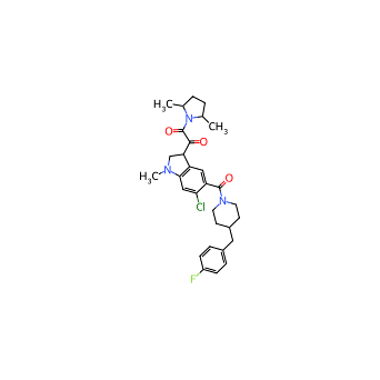 CC1CCC(C)N1C(=O)C(=O)C1CN(C)c2cc(Cl)c(C(=O)N3CCC(Cc4ccc(F)cc4)CC3)cc21